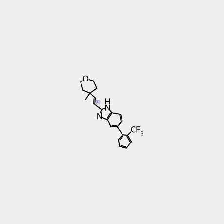 CC1(/C=C/c2nc3cc(-c4ccccc4C(F)(F)F)ccc3[nH]2)CCOCC1